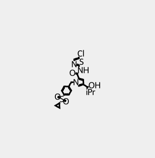 CC(C)C(O)c1cc(C(=O)Nc2ncc(Cl)s2)n(Cc2ccc(S(=O)(=O)C3CC3)cc2)c1